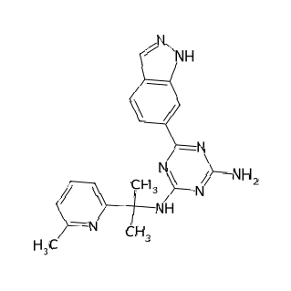 Cc1cccc(C(C)(C)Nc2nc(N)nc(-c3ccc4cn[nH]c4c3)n2)n1